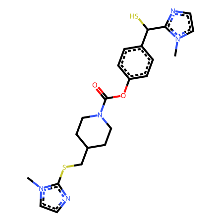 Cn1ccnc1SCC1CCN(C(=O)Oc2ccc(C(S)c3nccn3C)cc2)CC1